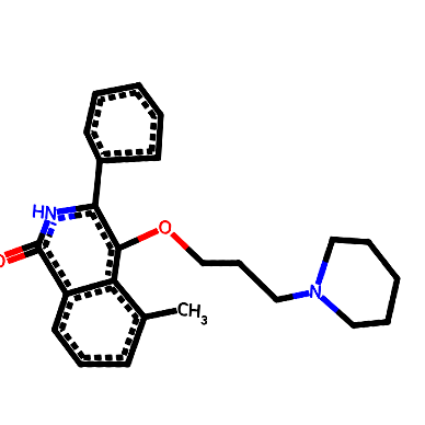 Cc1cccc2c(=O)[nH]c(-c3ccccc3)c(OCCCN3CCCCC3)c12